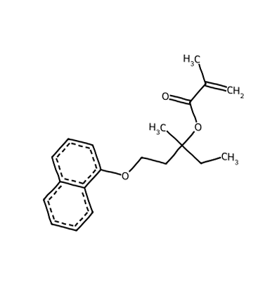 C=C(C)C(=O)OC(C)(CC)CCOc1cccc2ccccc12